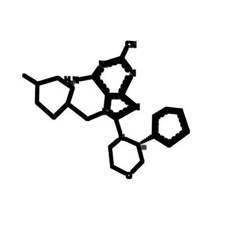 CC1CCC(Cn2c(N3CCOC[C@H]3c3ccccc3)nc3nc(C#N)nc(N)c32)CC1